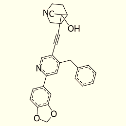 OC1(C#Cc2cnc(-c3ccc4c(c3)OCO4)cc2Cc2ccccc2)CN2CCC1CC2